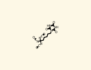 O=C=NC(CCCCCn1c(=O)[nH]c(=O)[nH]c1=O)(N=C=O)N=C=O